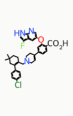 CC1(C)CCC(CN2CC=C(c3ccc(C(=O)O)c(Oc4cnc5[nH]cc(F)c5c4)c3)CC2)=C(c2ccc(Cl)cc2)C1